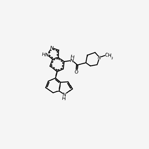 CN1CCC(C(=O)Nc2cc(C3=C4C=CNC4CC=C3)cc3[nH]ncc23)CC1